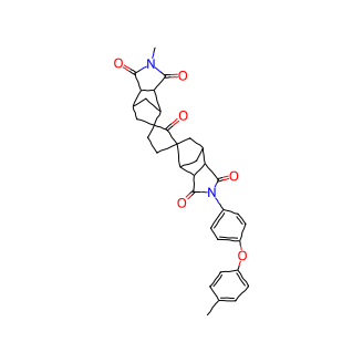 Cc1ccc(Oc2ccc(N3C(=O)C4C5CC(C4C3=O)C3(CCC4(CC6CC4C4C(=O)N(C)C(=O)C64)C3=O)C5)cc2)cc1